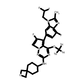 [2H]C([2H])([2H])Oc1nc(NC2CCC3(CC2)COC3)nn2cc(F)c(-c3cc(F)c4nc(C)n(CC(F)F)c4c3)c12